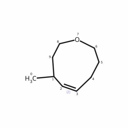 CC1/C=C\CCCOCC1